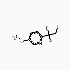 FC(F)(F)Oc1ccc(C(F)(F)CI)nc1